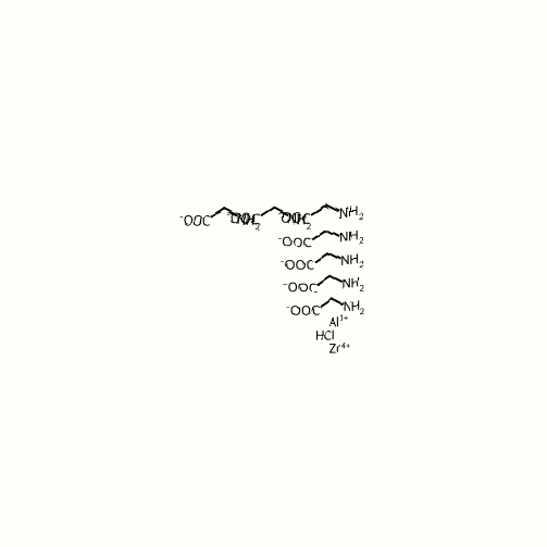 Cl.NCC(=O)[O-].NCC(=O)[O-].NCC(=O)[O-].NCC(=O)[O-].NCC(=O)[O-].NCC(=O)[O-].NCC(=O)[O-].[Al+3].[Zr+4]